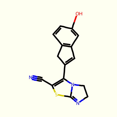 N#CC1=C(C2=Cc3cc(O)ccc3C2)N2CCN=C2S1